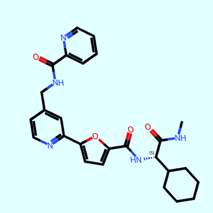 CNC(=O)[C@@H](NC(=O)c1ccc(-c2cc(CNC(=O)c3ccccn3)ccn2)o1)C1CCCCC1